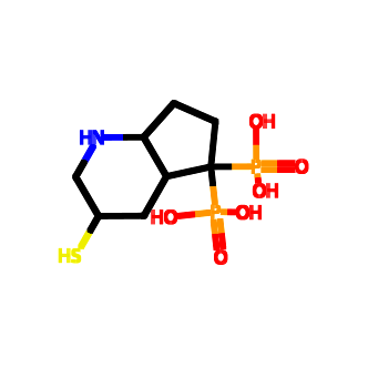 O=P(O)(O)C1(P(=O)(O)O)CCC2NCC(S)CC21